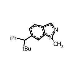 CC(C)C(c1ccc2cnn(C)c2c1)C(C)(C)C